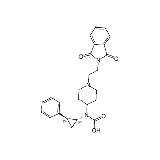 O=C1c2ccccc2C(=O)N1CCN1CCC(N(C(=O)O)[C@@H]2C[C@H]2c2ccccc2)CC1